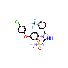 NS(=O)(=O)N=C1NCC(c2cccc(C(F)(F)F)c2)N1c1ccc(Oc2ccc(Cl)cc2)cc1